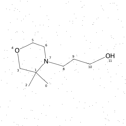 CC1(C)COCCN1CCCO